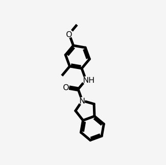 COc1ccc(NC(=O)N2Cc3ccccc3C2)c(C)c1